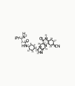 CC(C)[C@@H](N)CC(=O)Nc1ccc(-c2cnc3cnc(C(=O)N(C)c4ccc(C#N)cc4)cn23)cc1